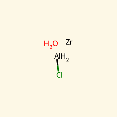 O.[AlH2][Cl].[Zr]